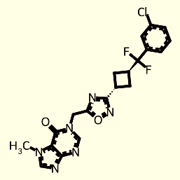 Cn1cnc2ncn(Cc3nc([C@H]4C[C@H](C(F)(F)c5cccc(Cl)c5)C4)no3)c(=O)c21